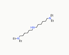 CCN(CC)CCCCCCNCCCCCCN(CC)CC